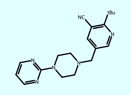 CC(C)(C)c1ncc(CN2CCN(c3ncccn3)CC2)cc1C#N